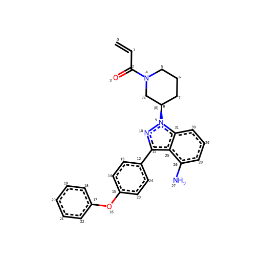 C=CC(=O)N1CCC[C@@H](n2nc(-c3ccc(Oc4ccccc4)cc3)c3c(N)cccc32)C1